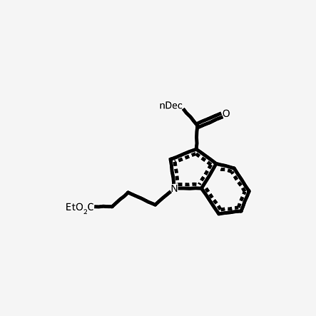 CCCCCCCCCCC(=O)c1cn(CCCC(=O)OCC)c2ccccc12